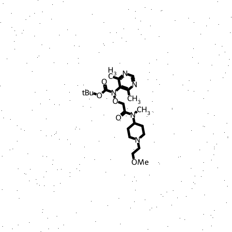 COCCN1CCC(N(C)C(=O)CON(C(=O)OC(C)(C)C)c2c(C)ncnc2C)CC1